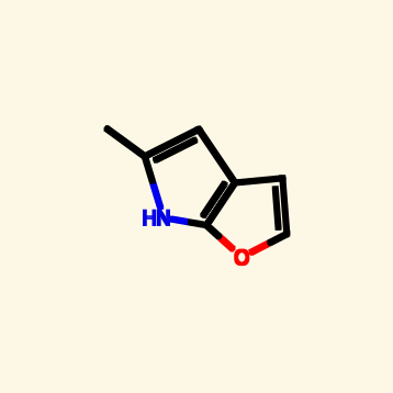 Cc1cc2ccoc2[nH]1